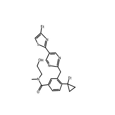 CCc1csc(-c2cnc(Cc3cc(C(=O)N(C)CCO)ccc3C3(CC)CC3)nc2)n1